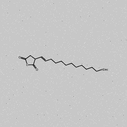 CCCCCCCCCCCCCCCCCCCC/C=C/C1CC(=O)OC1=O